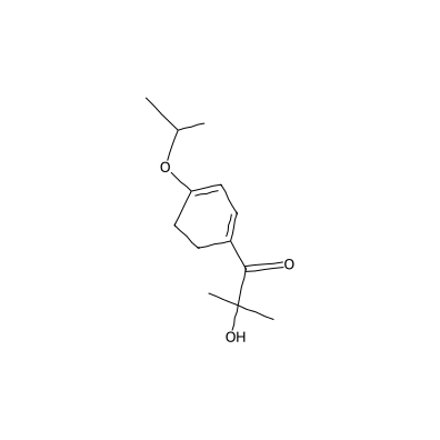 CC(C)OC1=CC=C(C(=O)C(C)(C)O)CC1